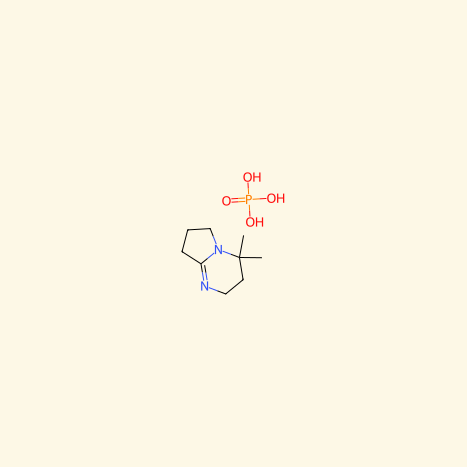 CC1(C)CCN=C2CCCN21.O=P(O)(O)O